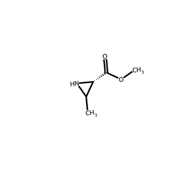 COC(=O)[C@H]1NC1C